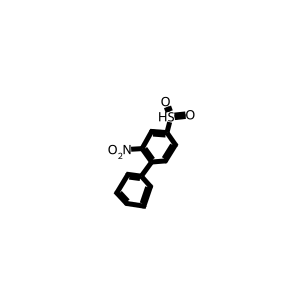 O=[N+]([O-])c1cc([SH](=O)=O)ccc1-c1ccccc1